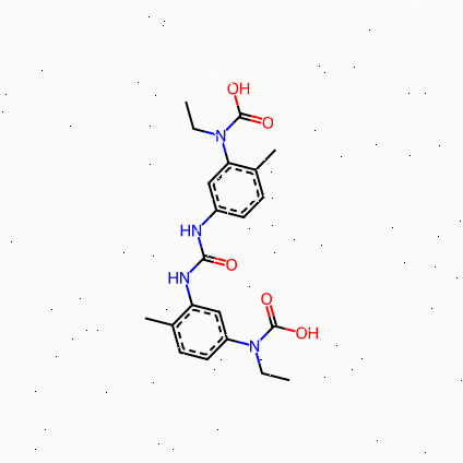 CCN(C(=O)O)c1ccc(C)c(NC(=O)Nc2ccc(C)c(N(CC)C(=O)O)c2)c1